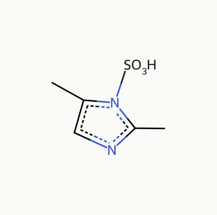 Cc1cnc(C)n1S(=O)(=O)O